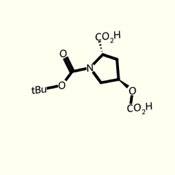 CC(C)(C)OC(=O)N1C[C@H](OC(=O)O)C[C@H]1C(=O)O